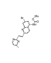 Cc1ccnc(C=Cc2ccc3c(NC(=O)OC(C)(C)C)cc(Br)cc3n2)n1